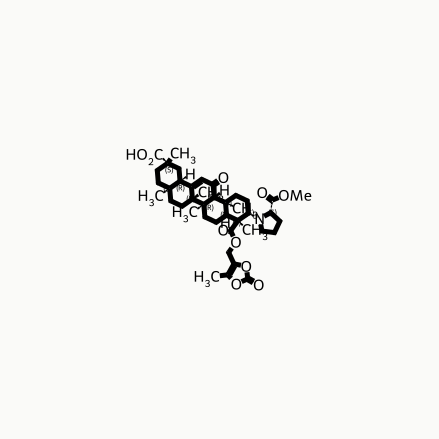 COC(=O)[C@@H]1CCCN1[C@H]1CC[C@@]2(C)[C@@H](CC[C@]3(C)[C@@H]2C(=O)C=C2[C@@H]4C[C@@](C)(C(=O)O)CC[C@]4(C)CC[C@]23C)[C@]1(C)C(=O)OCc1oc(=O)oc1C